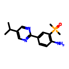 CC(C)c1cnc(-c2ccc(N)c(P(C)(C)=O)c2)nc1